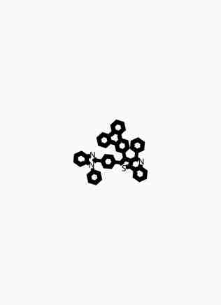 c1ccc(-c2nc3ccccc3c3sc(-c4ccc(-c5nc6ccccc6n5-c5ccccc5)cc4)c(-c4ccc5c6ccccc6c6ccccc6c5c4)c23)cc1